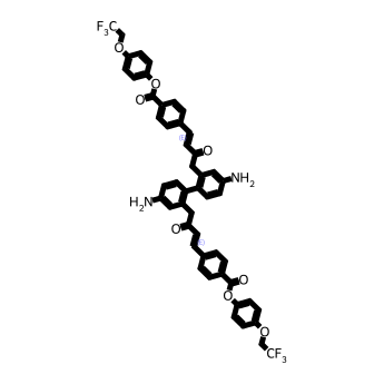 Nc1ccc(-c2ccc(N)cc2CC(=O)/C=C/c2ccc(C(=O)Oc3ccc(OCC(F)(F)F)cc3)cc2)c(CC(=O)/C=C/c2ccc(C(=O)Oc3ccc(OCC(F)(F)F)cc3)cc2)c1